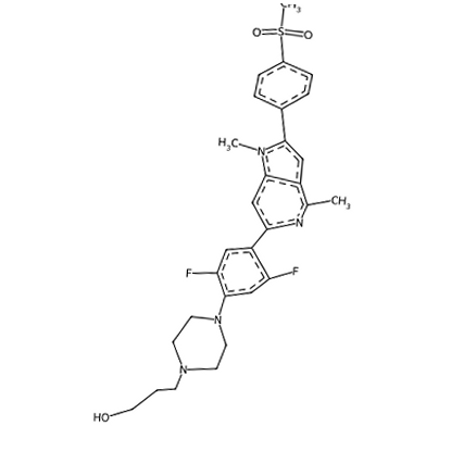 Cc1nc(-c2cc(F)c(N3CCN(CCCO)CC3)cc2F)cc2c1cc(-c1ccc(S(C)(=O)=O)cc1)n2C